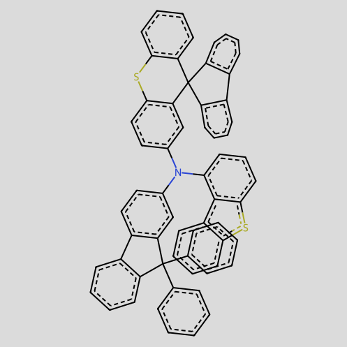 c1ccc(C2(c3ccccc3)c3ccccc3-c3ccc(N(c4ccc5c(c4)C4(c6ccccc6S5)c5ccccc5-c5ccccc54)c4cccc5sc6ccccc6c45)cc32)cc1